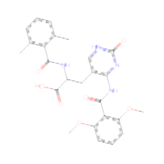 COc1cccc(OC)c1C(=O)Nc1nc(=O)[nH]cc1CC(NC(=O)c1c(C)cccc1C)C(=O)O